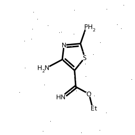 CCOC(=N)c1sc(P)nc1N